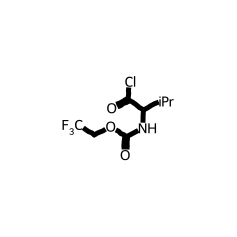 CC(C)C(NC(=O)OCC(F)(F)F)C(=O)Cl